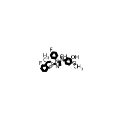 COc1ccc(N(C)c2cnc(SCC(C)c3c(F)cccc3F)n2-c2ccc(F)cc2)cc1O